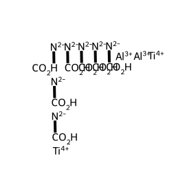 [Al+3].[Al+3].[N-2]C(=O)O.[N-2]C(=O)O.[N-2]C(=O)O.[N-2]C(=O)O.[N-2]C(=O)O.[N-2]C(=O)O.[N-2]C(=O)O.[Ti+4].[Ti+4]